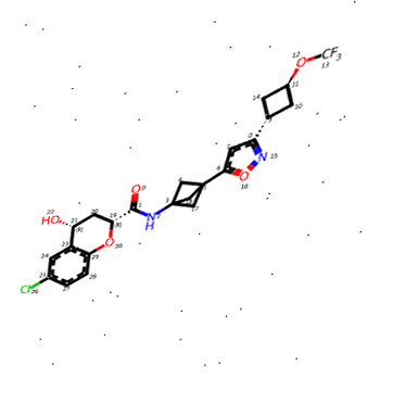 O=C(NC12CC(c3cc([C@H]4C[C@H](OC(F)(F)F)C4)no3)(C1)C2)[C@H]1C[C@@H](O)c2cc(Cl)ccc2O1